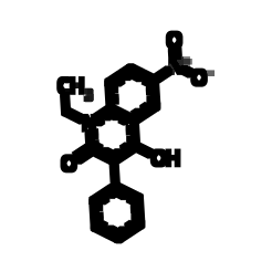 CCn1c(=O)c(-c2ccccc2)c(O)c2cc([N+](=O)[O-])ccc21